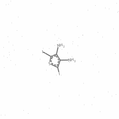 Nc1c(I)sc(I)c1N